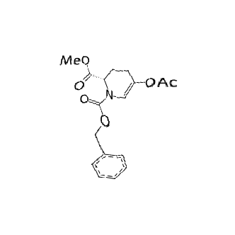 COC(=O)[C@@H]1CCC(OC(C)=O)=CN1C(=O)OCc1ccccc1